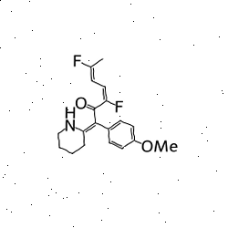 COc1ccc(/C(C(=O)/C(F)=C\C=C(/C)F)=C2\CCCCN2)cc1